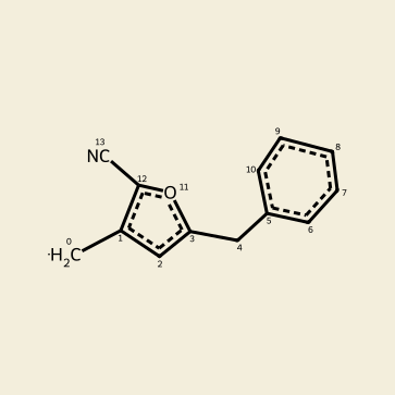 [CH2]c1cc(Cc2ccccc2)oc1C#N